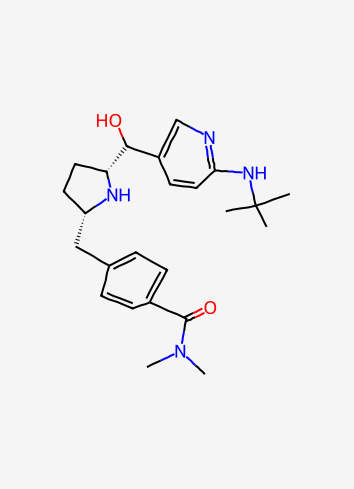 CN(C)C(=O)c1ccc(C[C@@H]2CC[C@H](C(O)c3ccc(NC(C)(C)C)nc3)N2)cc1